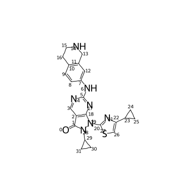 O=c1c2cnc(Nc3ccc4c(c3)CNCC4)nc2n(-c2nc(C3CC3)cs2)n1C1CC1